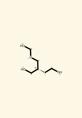 OCC[C@H](CO)COCO